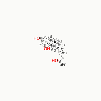 CC(C)C(O)CC[C@@H](C)[C@H]1CC[C@H]2[C@@H]3CC=C4C[C@@H](O)CC(O)[C@]4(C)[C@H]3CC[C@]12C